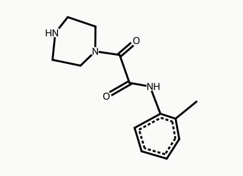 Cc1ccccc1NC(=O)C(=O)N1CCNCC1